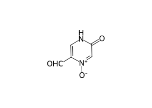 O=Cc1c[nH]c(=O)c[n+]1[O-]